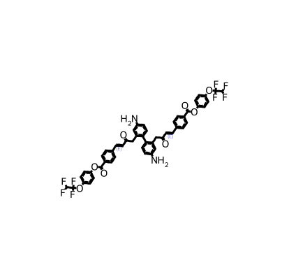 Nc1ccc(-c2ccc(N)cc2CC(=O)/C=C/c2ccc(C(=O)Oc3ccc(OC(F)(F)C(F)F)cc3)cc2)c(CC(=O)/C=C/c2ccc(C(=O)Oc3ccc(OC(F)(F)C(F)F)cc3)cc2)c1